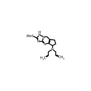 C=CCN(CC=C)C1CCC2=C1N=C1N=C(SC)NN1C2